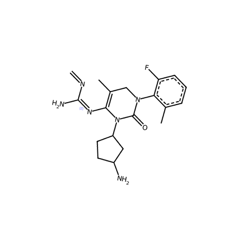 C=N/C(N)=N\C1=C(C)CN(c2c(C)cccc2F)C(=O)N1C1CCC(N)C1